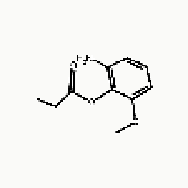 CCC(=O)Oc1c(N)cccc1OC